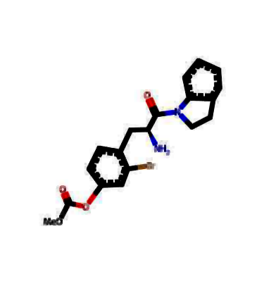 COC(=O)Oc1ccc(C[C@H](N)C(=O)N2CCc3ccccc32)c(Br)c1